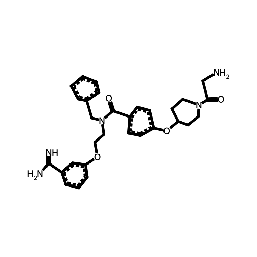 N=C(N)c1cccc(OCCN(Cc2ccccc2)C(=O)c2ccc(OC3CCN(C(=O)CN)CC3)cc2)c1